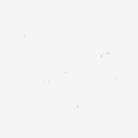 CCOc1ccc(Oc2cc3c(c(Cl)c2Cl)C=C(C(=O)O)C(C(F)(F)F)O3)cc1Cl